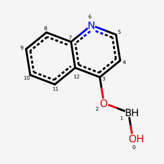 OBOc1ccnc2ccccc12